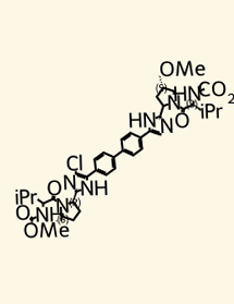 COC[C@H]1CC(c2ncc(-c3ccc(-c4ccc(-c5[nH]c([C@H]6CC[C@H](C)N6C(=O)C(NC(=O)OC)C(C)C)nc5Cl)cc4)cc3)[nH]2)N(C(=O)[C@@H](NC(=O)O)C(C)C)C1